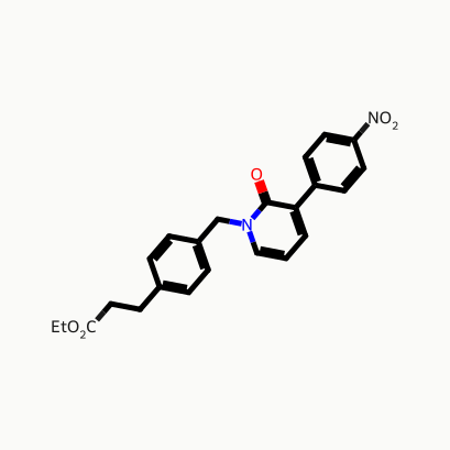 CCOC(=O)CCc1ccc(Cn2cccc(-c3ccc([N+](=O)[O-])cc3)c2=O)cc1